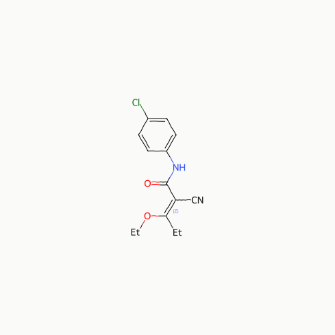 CCO/C(CC)=C(/C#N)C(=O)Nc1ccc(Cl)cc1